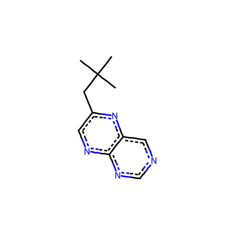 CC(C)(C)Cc1cnc2ncncc2n1